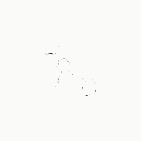 Cl.N#Cc1cc(C(=N)N)ccc1OCC1CCCCC1